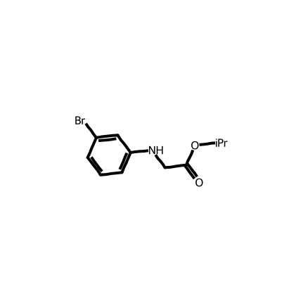 CC(C)OC(=O)CNc1cccc(Br)c1